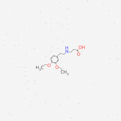 CCOc1ccc(CCNCCC(=O)O)cc1OCC